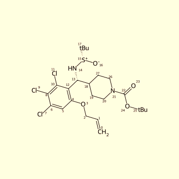 C=CCOc1cc(Cl)c(Cl)c(Cl)c1[C@H](N[S@@+]([O-])C(C)(C)C)C1CCN(C(=O)OC(C)(C)C)CC1